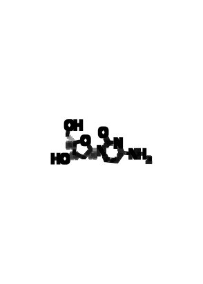 Nc1ccn([C@@H]2C[C@H](O)[C@H](CO)O2)c(=O)n1